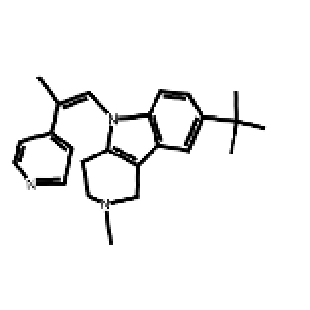 C/C(=C/n1c2c(c3cc(C(C)(C)C)ccc31)CN(C)CC2)c1ccncc1